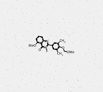 COCOc1c(C)cc(-c2nc3cccc(OC)c3c(=O)n2F)cc1C